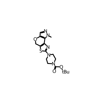 Cn1ncc2c1-c1nc(N3CCN(C(=O)OC(C)(C)C)CC3)sc1CO2